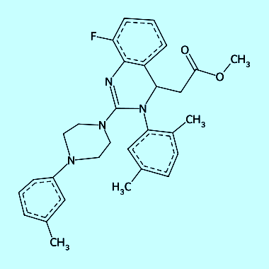 COC(=O)CC1c2cccc(F)c2N=C(N2CCN(c3cccc(C)c3)CC2)N1c1cc(C)ccc1C